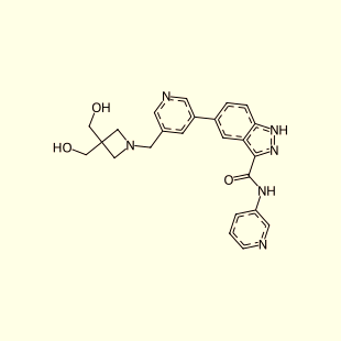 O=C(Nc1cccnc1)c1n[nH]c2ccc(-c3cncc(CN4CC(CO)(CO)C4)c3)cc12